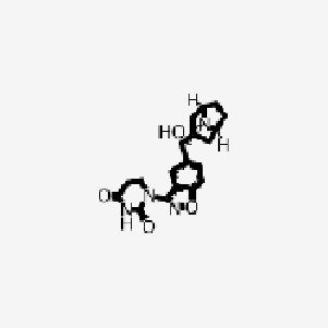 O=C1CCN(c2noc3ccc(CC4C[C@H]5CC[C@@H](C4)N5C(=O)O)cc23)C(=O)N1